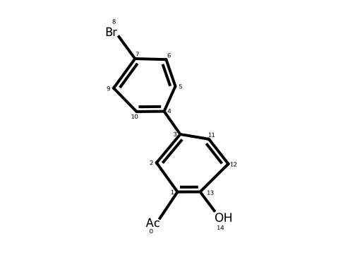 CC(=O)c1cc(-c2ccc(Br)cc2)ccc1O